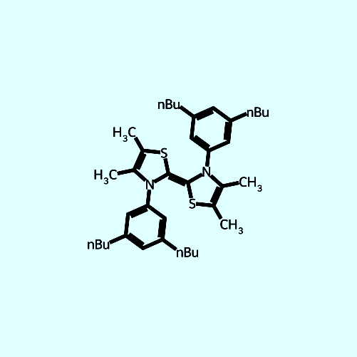 CCCCc1cc(CCCC)cc(N2C(C)=C(C)S/C2=C2/SC(C)=C(C)N2c2cc(CCCC)cc(CCCC)c2)c1